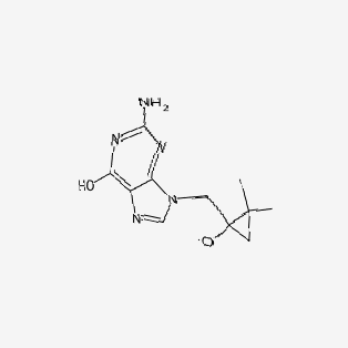 CC1(C)CC1([O])Cn1cnc2c(O)nc(N)nc21